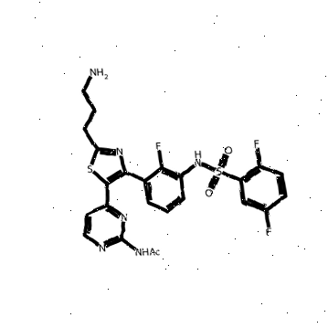 CC(=O)Nc1nccc(-c2sc(CCCN)nc2-c2cccc(NS(=O)(=O)c3cc(F)ccc3F)c2F)n1